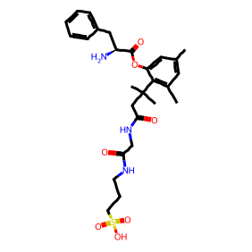 Cc1cc(C)c(C(C)(C)CC(=O)NCC(=O)NCCCS(=O)(=O)O)c(OC(=O)[C@@H](N)Cc2ccccc2)c1